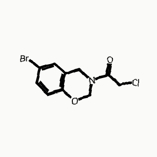 O=C(CCl)N1COc2ccc(Br)cc2C1